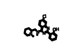 CN(CC1CCCCN1C)c1nc(-c2ccccc2O)nc2cc(Cl)ccc12